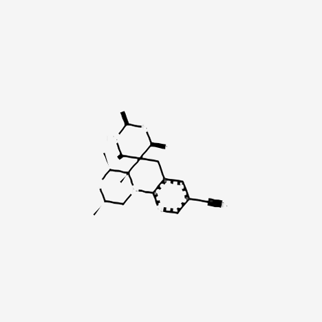 C[C@@H]1CN2c3ncc(C#N)cc3CC3(C(=O)NC(=O)NC3=O)[C@H]2[C@H](C)O1